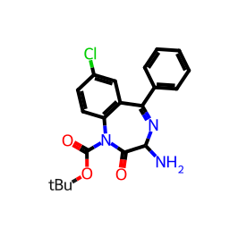 CC(C)(C)OC(=O)N1C(=O)C(N)N=C(c2ccccc2)c2cc(Cl)ccc21